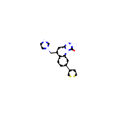 O=c1[nH]nc2cc(Cn3ccnc3)c3ccc(-c4ccsc4)cc3n12